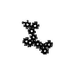 Cc1ccc(-n2c3c(c4cc(-c5ccc6c(c5)C5=c7ccccc7=CCC5N6c5ccc(-c6nc(C7=CCCC=C7)c7ccccc7n6)cc5)ccc42)CCC=C3)cc1